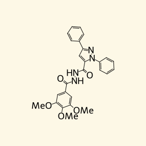 COc1cc(C(=O)NNC(=O)c2cc(-c3ccccc3)nn2-c2ccccc2)cc(OC)c1OC